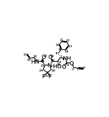 C#CCOC(=O)N[C@@H](Cc1ccccc1)[C@H](O)C(=O)N1CC(F)(F)C[C@H]1C(=O)NCC=C